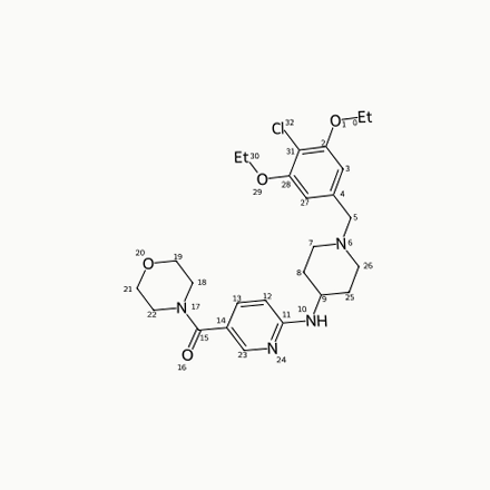 CCOc1cc(CN2CCC(Nc3ccc(C(=O)N4CCOCC4)cn3)CC2)cc(OCC)c1Cl